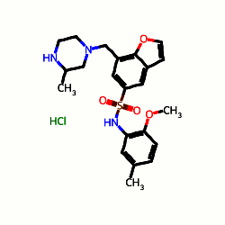 COc1ccc(C)cc1NS(=O)(=O)c1cc(CN2CCNC(C)C2)c2occc2c1.Cl